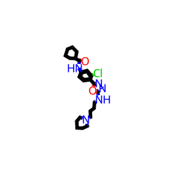 O=C(Nc1ccc(-c2nnc(NCCCCN3CCCCC3)o2)c(Cl)c1)C1CCCCC1